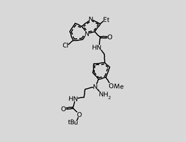 CCc1nc2ccc(Cl)cn2c1C(=O)NCc1ccc(N(N)CCNC(=O)OC(C)(C)C)c(OC)c1